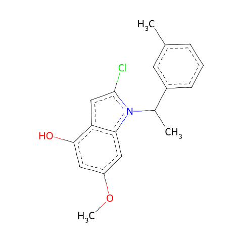 COc1cc(O)c2cc(Cl)n(C(C)c3cccc(C)c3)c2c1